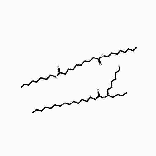 CCCCCCCCCCCCCCCC(=O)OC(CCCC)CCCCCCC.CCCCCCCCOC(=O)CCCCCCCCC(=O)OCCCCCCCC